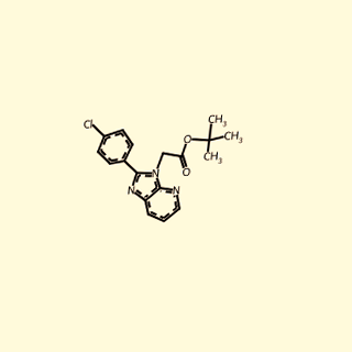 CC(C)(C)OC(=O)Cn1c(-c2ccc(Cl)cc2)nc2cccnc21